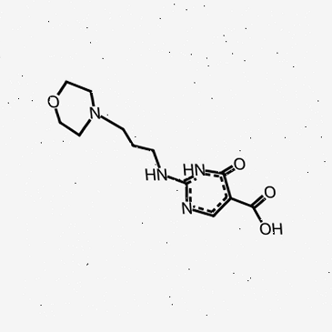 O=C(O)c1cnc(NCCCN2CCOCC2)[nH]c1=O